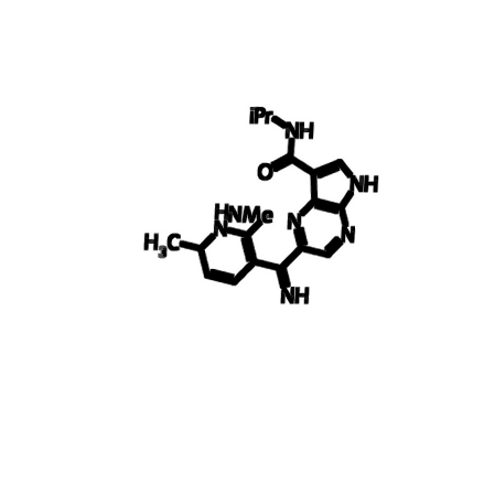 CNC1=C(C(=N)c2cnc3[nH]cc(C(=O)NC(C)C)c3n2)C=CC(C)N1